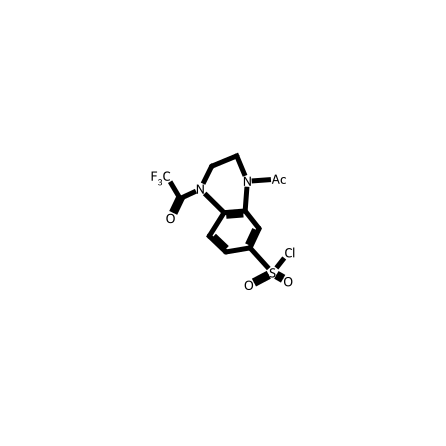 CC(=O)N1CCN(C(=O)C(F)(F)F)c2ccc(S(=O)(=O)Cl)cc21